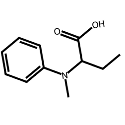 CCC(C(=O)O)N(C)c1ccccc1